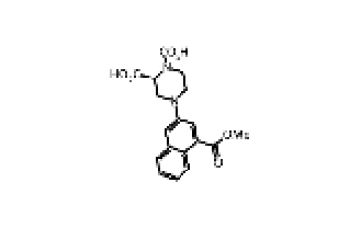 COC(=O)c1cc(N2CCN(C(=O)O)[C@H](C(=O)O)C2)cc2ccccc12